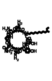 CCC(C)CCCCCCCCCC[C@H]1CC(=O)N[C@@H](CC(=O)O)C(=O)N[C@H](Cc2ccc(O)cc2)C(=O)N[C@H](CC(N)=O)C(=O)N[C@@H](CCC(N)=O)C(=O)N2CCC[C@@H]2C(=O)N[C@H](CC(N)=O)C(=O)N[C@@H](CC(N)=O)C(=O)N1